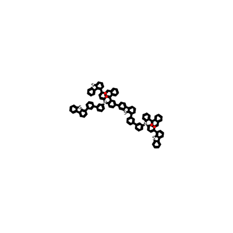 c1cc(-c2cccc(N(c3ccc(-c4cccc5sc6ccccc6c45)cc3)c3ccc(-c4ccc5c(c4)sc4c(-c6cccc(-c7cccc(N(c8ccc(-c9cccc%10c9sc9ccccc9%10)cc8)c8ccccc8-c8cccc9ccccc89)c7)c6)cccc45)cc3-c3cccc4ccccc34)c2)cc(-c2cccc3c2sc2ccccc23)c1